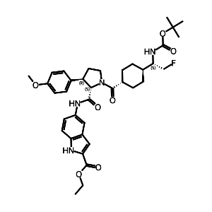 CCOC(=O)c1cc2cc(NC(=O)[C@@H]3[C@@H](c4ccc(OC)cc4)CCN3C(=O)[C@H]3CC[C@H]([C@@H](CF)NC(=O)OC(C)(C)C)CC3)ccc2[nH]1